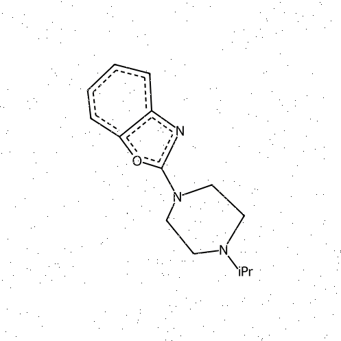 CC(C)N1CCN(c2nc3ccccc3o2)CC1